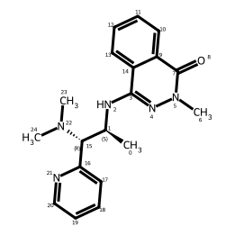 C[C@H](Nc1nn(C)c(=O)c2ccccc12)[C@H](c1ccccn1)N(C)C